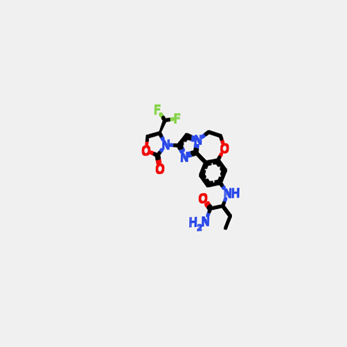 CCC(Nc1ccc2c(c1)OCCn1cc(N3C(=O)OC[C@H]3C(F)F)nc1-2)C(N)=O